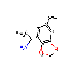 NCC(=O)O.O=Cc1ccc2c(c1)OCO2